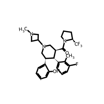 Cc1c(F)cccc1[C@H]1[C@H](C(=O)N2CCC[C@H]2C(F)(F)F)CN(C2CN(C)C2)C[C@H]1c1cc[c]cc1O